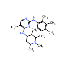 Cc1cnc(Nc2ccc(C)c(C)c2C)nc1NC1CC(C)N(C)C(C)C1C